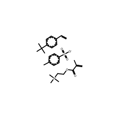 C=C(C)C(=O)OCC[N+](C)(C)C.C=Cc1ccc(C(C)(C)C)cc1.Cc1ccc(S(=O)(=O)[O-])cc1